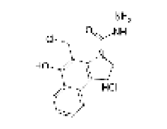 Cl.NNC(=O)N1CCc2c1c(CCl)c(O)c1ccccc21